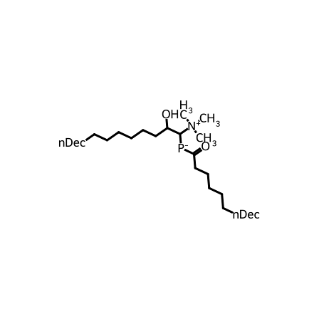 CCCCCCCCCCCCCCCCC(O)C([P-]C(=O)CCCCCCCCCCCCCCC)[N+](C)(C)C